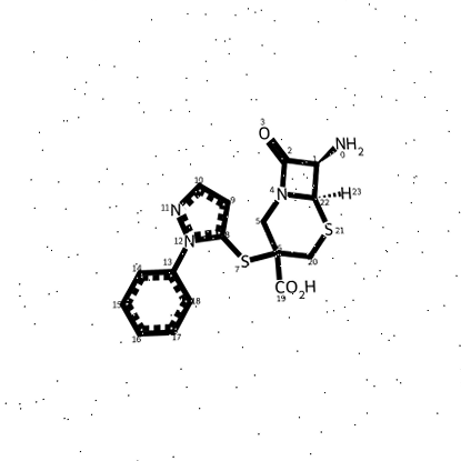 N[C@@H]1C(=O)N2CC(Sc3ccnn3-c3ccccc3)(C(=O)O)CS[C@H]12